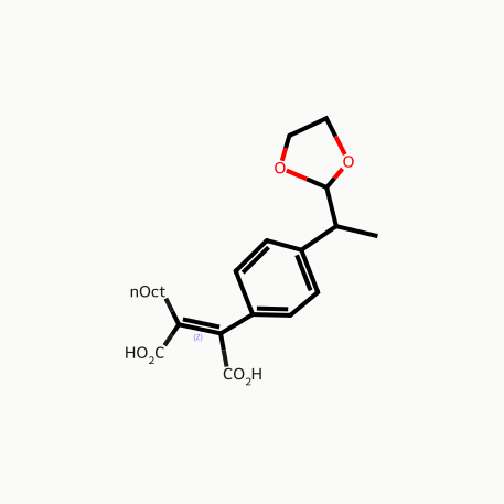 CCCCCCCC/C(C(=O)O)=C(/C(=O)O)c1ccc(C(C)C2OCCO2)cc1